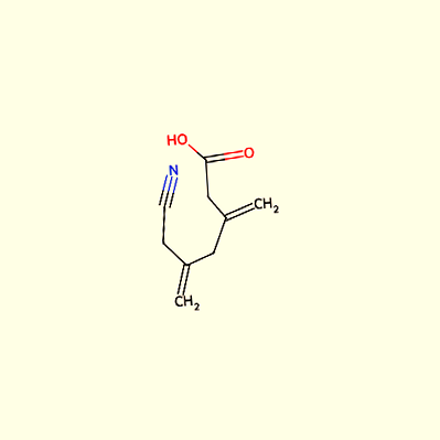 C=C(CC#N)CC(=C)CC(=O)O